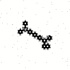 c1ccc(-c2nc(-c3ccccc3)nc(-c3ccc(-c4ccc(-c5ccc(-c6cc(-c7cccc8ccccc78)cc(-c7ccccn7)n6)nc5)cc4)cc3)n2)cc1